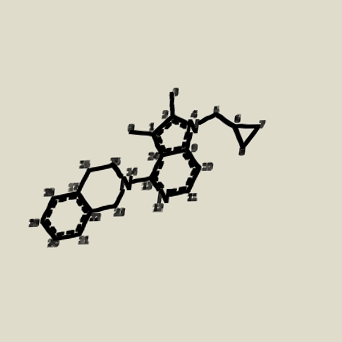 Cc1c(C)n(CC2CC2)c2ccnc(N3CCc4ccccc4C3)c12